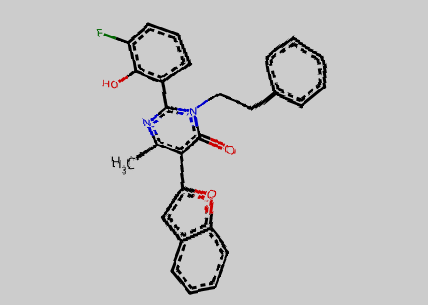 Cc1nc(-c2cccc(F)c2O)n(CCc2ccccc2)c(=O)c1-c1cc2ccccc2o1